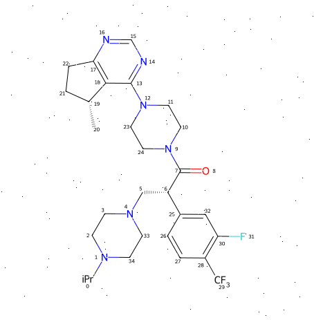 CC(C)N1CCN(C[C@H](C(=O)N2CCN(c3ncnc4c3[C@H](C)CC4)CC2)c2ccc(C(F)(F)F)c(F)c2)CC1